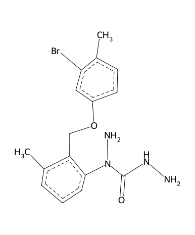 Cc1ccc(OCc2c(C)cccc2N(N)C(=O)NN)cc1Br